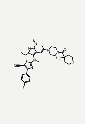 C=Nc1nn(CC)c(N(C)c2nc(-c3ccc(F)cc3)c(C#N)s2)c1/C=C(\C)N1CCN(C(=O)C2(O)CCOCC2)CC1